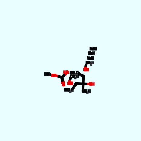 O=C(O)CC(O)(CC(=O)O)C(=O)O.O=C(O)O.O=S(=O)(O)O.O=[Si](O)O.[NaH].[NaH].[NaH].[NaH]